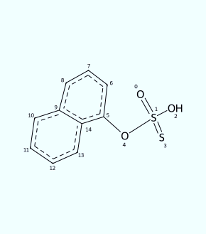 O=S(O)(=S)Oc1cccc2ccccc12